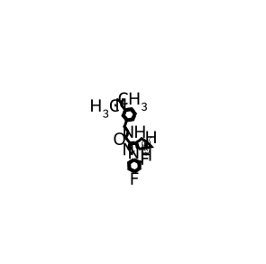 CN(C)c1cccc(CNC(=O)c2nn(-c3ccc(F)cc3F)c3c2C[C@H]2C[C@@H]32)c1